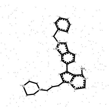 Nc1ncnn2c(CCCN3CCOCC3)cc(-c3ccc4cn(Cc5ccccc5)nc4c3)c12